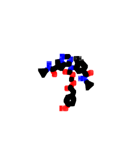 Cc1ccc(C(=O)NC2CC2)cc1N(C(=O)OCOC(=O)Cc1ccc(O)cc1)c1ncnn2cc(C(=O)NC3CC3)cc12